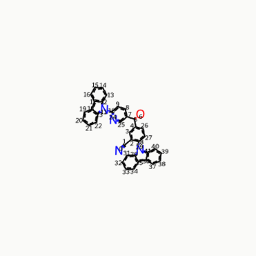 N#Cc1cc(C(=O)c2ccc(-n3c4ccccc4c4ccccc43)nc2)ccc1-n1c2ccccc2c2ccccc21